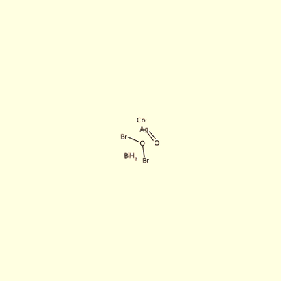 BrOBr.[BiH3].[Co].[O]=[Ag]